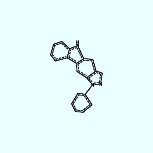 c1ccc(-n2ncc3cc4[nH]c5ccccc5c4cc32)cc1